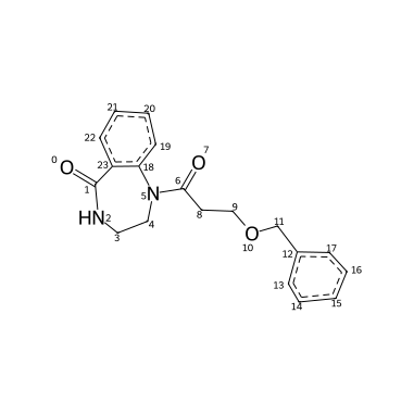 O=C1NCCN(C(=O)CCOCc2ccccc2)c2ccccc21